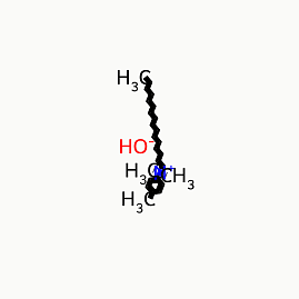 CCCCCCCCCCCCCCCC[N+](C)(C)c1ccc(C)cc1.[OH-]